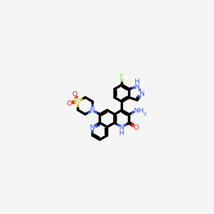 Nc1c(-c2ccc(F)c3[nH]ncc23)c2cc(N3CCS(=O)(=O)CC3)c3ncccc3c2[nH]c1=O